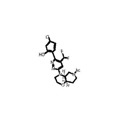 CC(=O)N1CC[C@H]2OCCN(c3cc(C(F)F)c(-c4ccc(Cl)cc4O)nn3)[C@H]2C1